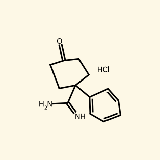 Cl.N=C(N)C1(c2ccccc2)CCC(=O)CC1